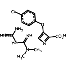 CN(C)C(=N)NC(=N)N.O=C(O)C1=NC=C1Oc1ccc(Cl)cc1